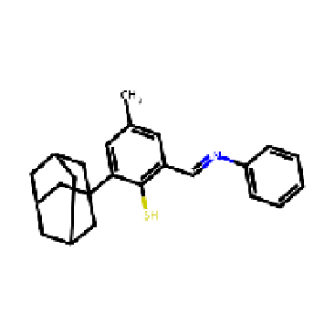 Cc1cc(/C=N/c2ccccc2)c(S)c(C23CC4CC(CC(C4)C2)C3)c1